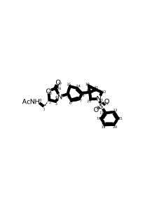 CC(=O)NC[C@H]1CN(C2C=CC(C34CC3CN(S(=O)(=O)c3ccccc3)C4)=CC2)C(=O)O1